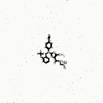 Cc1sc(N(Cc2ccccc2SC(F)(F)F)c2ccc(C#N)cc2)nc1C(=O)NC[SH](=O)=O